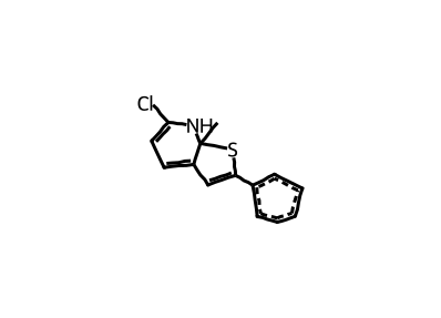 CC12NC(Cl)=CC=C1C=C(c1ccccc1)S2